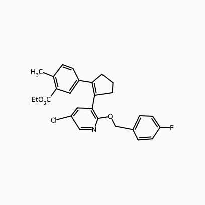 CCOC(=O)c1cc(C2=C(c3cc(Cl)cnc3OCc3ccc(F)cc3)CCC2)ccc1C